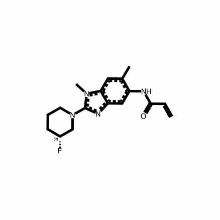 C=CC(=O)Nc1cc2nc(N3CCC[C@@H](F)C3)n(C)c2cc1C